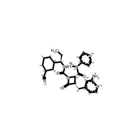 CC[C@@H](NC(=O)N1C(=O)[C@@H](Cc2ccnc(N)c2)[C@H]1C(=O)N(C)c1ccncc1)C1CCCC(C#N)C1